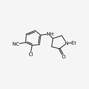 CCN1CC(Nc2ccc(C#N)c(Cl)c2)CC1=O